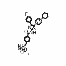 CS(=O)(=O)NCc1ccc(C(=O)Nc2nc(-c3ccc(F)cc3)c(N3CCN(C4CCCCC4)CC3)s2)cc1